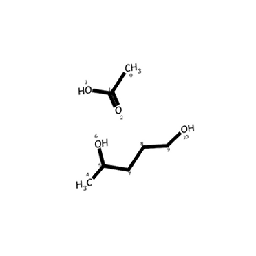 CC(=O)O.CC(O)CCCO